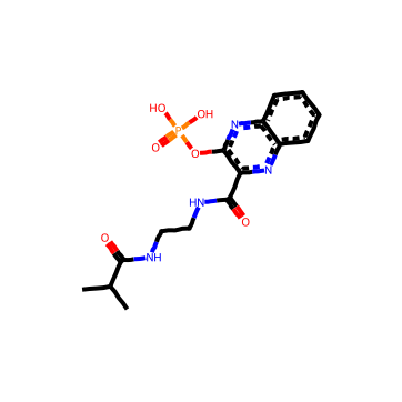 CC(C)C(=O)NCCNC(=O)c1nc2ccccc2nc1OP(=O)(O)O